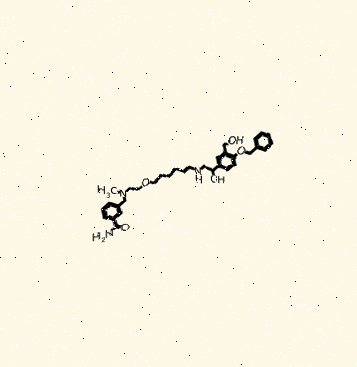 CN(CCOCCCCCCNCC(O)c1ccc(OCc2ccccc2)c(CO)c1)Cc1cccc(C(N)=O)c1